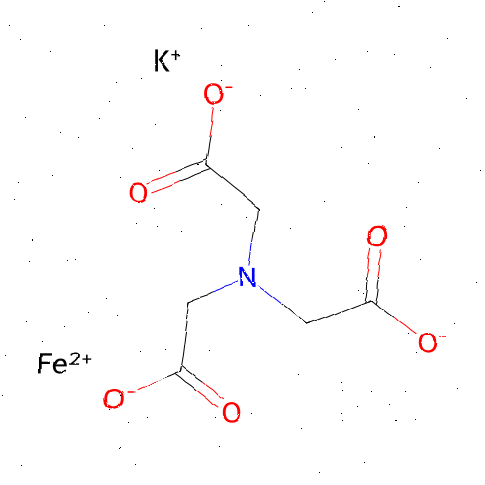 O=C([O-])CN(CC(=O)[O-])CC(=O)[O-].[Fe+2].[K+]